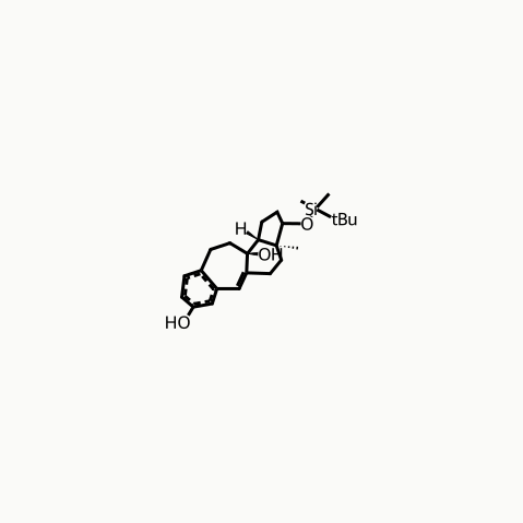 CC(C)(C)[Si](C)(C)OC1CC[C@H]2[C@@]3(O)CCc4ccc(O)cc4C=C3CC[C@]12C